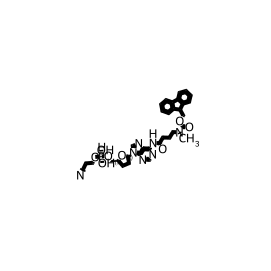 CN(CCCC(=O)Nc1ncnc2c1ncn2[C@H]1CC[C@@H](CO[PH](O)(O)OCCC#N)O1)C(=O)OCC1c2ccccc2-c2ccccc21